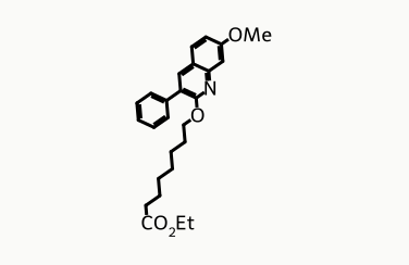 CCOC(=O)CCCCCCCOc1nc2cc(OC)ccc2cc1-c1ccccc1